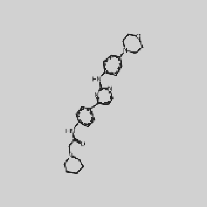 O=C(CN1CCCCC1)Nc1ccc(-c2ccnc(Nc3ccc(N4CCOCC4)cc3)n2)cc1